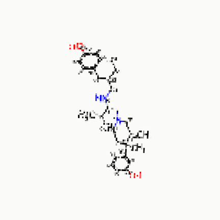 CC(C)[C@@H](CN1CC[C@@](C)(c2cccc(O)c2)[C@@H](C)C1)NCC1CCc2cc(O)ccc2C1